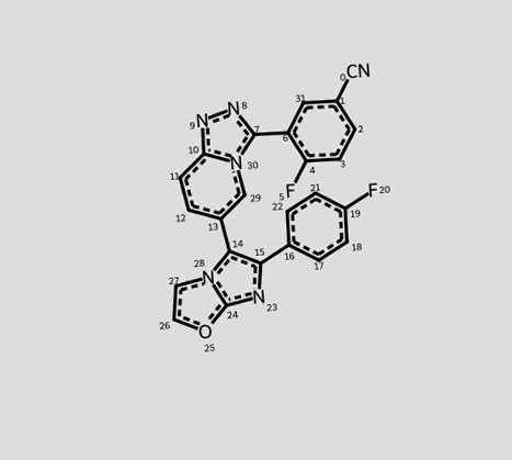 N#Cc1ccc(F)c(-c2nnc3ccc(-c4c(-c5ccc(F)cc5)nc5occn45)cn23)c1